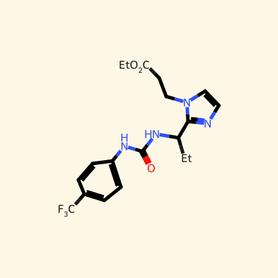 CCOC(=O)CCn1ccnc1C(CC)NC(=O)Nc1ccc(C(F)(F)F)cc1